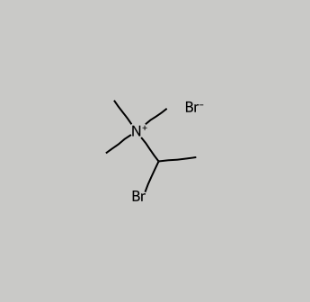 CC(Br)[N+](C)(C)C.[Br-]